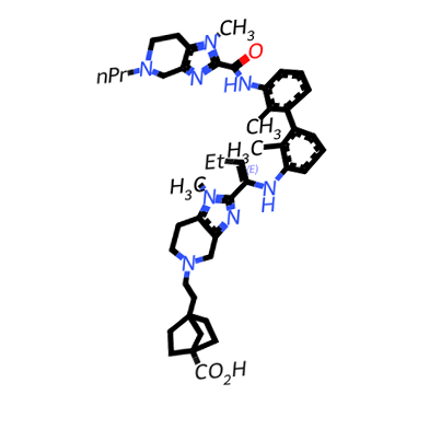 CC/C=C(/Nc1cccc(-c2cccc(NC(=O)c3nc4c(n3C)CCN(CCC)C4)c2C)c1C)c1nc2c(n1C)CCN(CCC13CCC(C(=O)O)(CC1)C3)C2